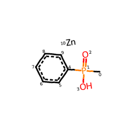 CP(=O)(O)c1ccccc1.[Zn]